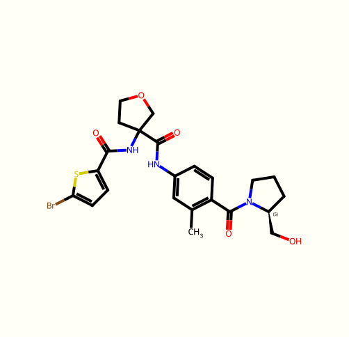 Cc1cc(NC(=O)C2(NC(=O)c3ccc(Br)s3)CCOC2)ccc1C(=O)N1CCC[C@H]1CO